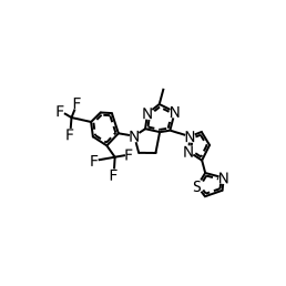 Cc1nc2c(c(-n3ccc(-c4nccs4)n3)n1)CCN2c1ccc(C(F)(F)F)cc1C(F)(F)F